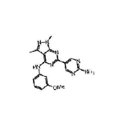 COc1cccc(Nc2nc(-c3cnc(N)nc3)nc3c2c(C)nn3C)c1